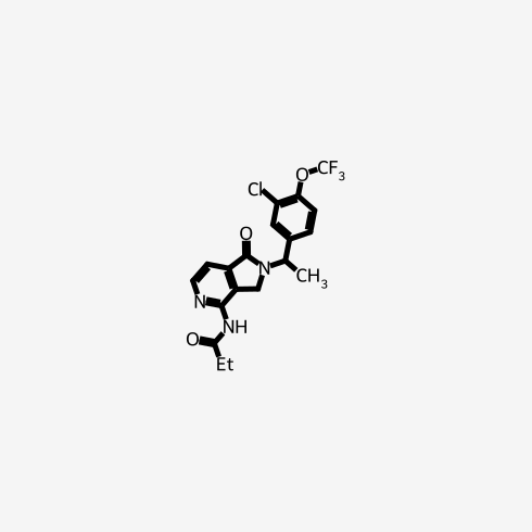 CCC(=O)Nc1nccc2c1CN(C(C)c1ccc(OC(F)(F)F)c(Cl)c1)C2=O